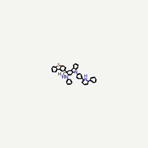 CC1(c2ccc3sc4ccccc4c3c2)Cc2c(n(-c3ccc(C4=CC=CC(c5ccccc5)N4)cc3)c3ccccc23)C=C1Nc1ccccc1